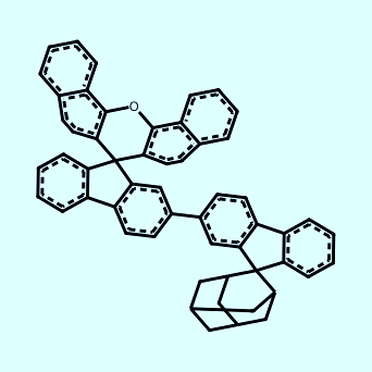 c1ccc2c(c1)-c1ccc(-c3ccc4c(c3)C3(c5ccccc5-4)C4CC5CC(C4)CC3C5)cc1C21c2ccc3ccccc3c2Oc2c1ccc1ccccc21